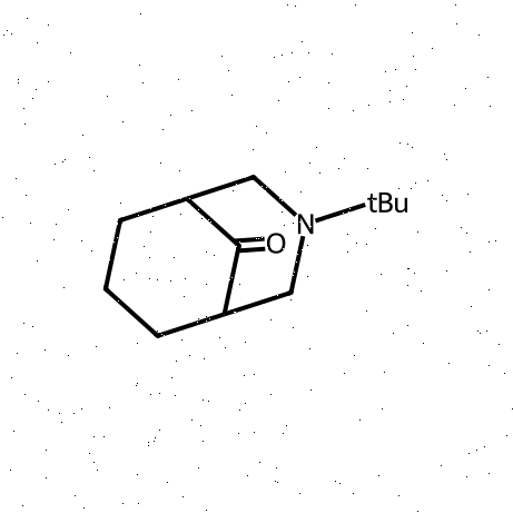 CC(C)(C)N1CC2CCCC(C1)C2=O